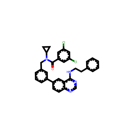 O=C(c1cc(Cl)cc(Cl)c1)N(Cc1cccc(-c2ccc3ncnc(NCCc4ccccc4)c3c2)c1)C1CC1